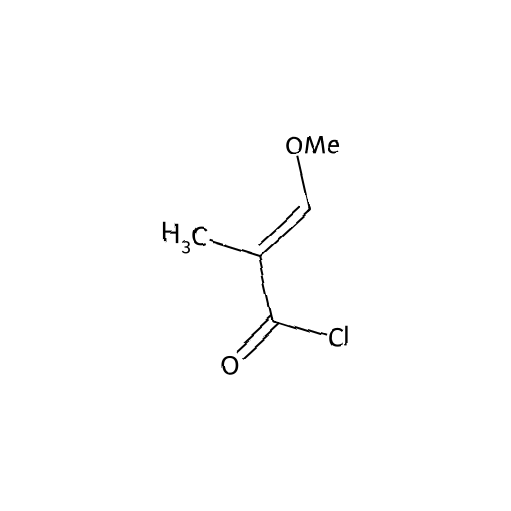 CO/C=C(\C)C(=O)Cl